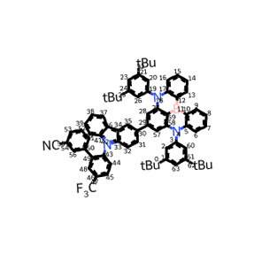 CC(C)(C)c1cc(N2c3ccccc3B3c4ccccc4N(c4cc(C(C)(C)C)cc(C(C)(C)C)c4)c4cc(-c5ccc6c(c5)c5ccccc5n6-c5ccc(C(F)(F)F)cc5-c5cccc(C#N)c5)cc2c43)cc(C(C)(C)C)c1